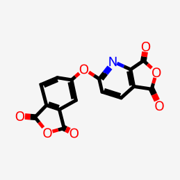 O=C1OC(=O)c2cc(Oc3ccc4c(n3)C(=O)OC4=O)ccc21